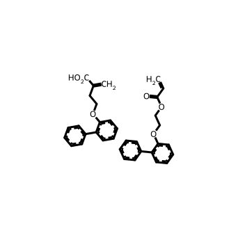 C=C(CCOc1ccccc1-c1ccccc1)C(=O)O.C=CC(=O)OCCOc1ccccc1-c1ccccc1